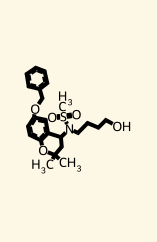 CC1(C)CC(N(CCCCO)S(C)(=O)=O)c2cc(OCc3ccccc3)ccc2O1